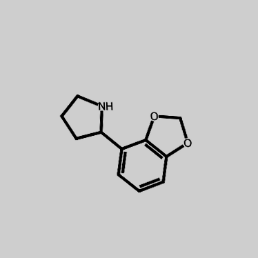 c1cc2c(c(C3CCCN3)c1)OCO2